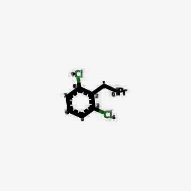 CC(C)[CH]c1c(Cl)cccc1Cl